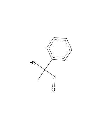 CC(S)(C=O)c1ccccc1